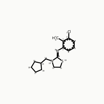 Cc1c(Cl)cccc1N=C1SCCN1CC1CCCC1